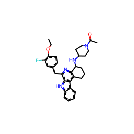 CCOc1ccc(Cc2nc3c(c4c2[nH]c2ccccc24)CCCC3NC2CCN(C(C)=O)CC2)cc1F